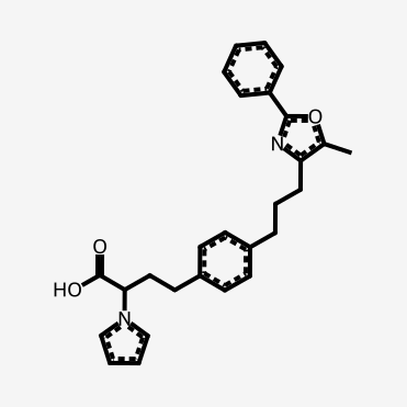 Cc1oc(-c2ccccc2)nc1CCCc1ccc(CCC(C(=O)O)n2cccc2)cc1